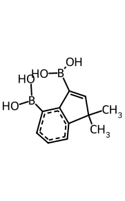 CC1(C)C=C(B(O)O)c2c(B(O)O)cccc21